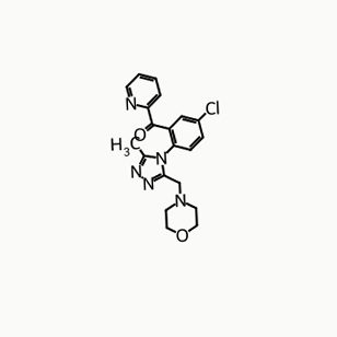 Cc1nnc(CN2CCOCC2)n1-c1ccc(Cl)cc1C(=O)c1ccccn1